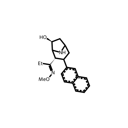 CCC(=NOC)[C@H]1C(c2ccc3ccccc3c2)CC2C[C@H](O)C1N2